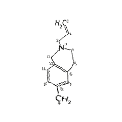 C=CCN1CCc2cc(C)ccc2C1